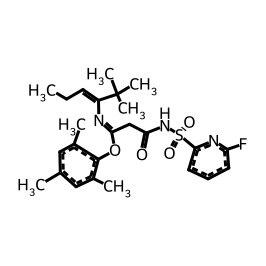 CC/C=C(\N=C(/CC(=O)NS(=O)(=O)c1cccc(F)n1)Oc1c(C)cc(C)cc1C)C(C)(C)C